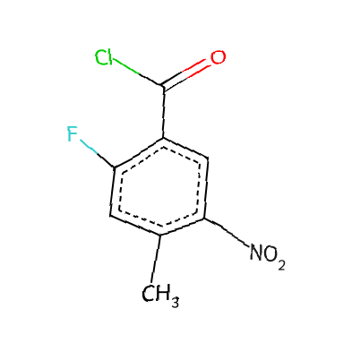 Cc1cc(F)c(C(=O)Cl)cc1[N+](=O)[O-]